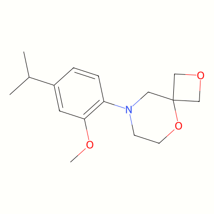 COc1cc(C(C)C)ccc1N1CCOC2(COC2)C1